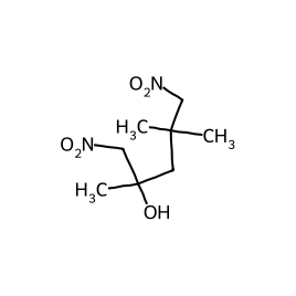 CC(C)(C[N+](=O)[O-])CC(C)(O)C[N+](=O)[O-]